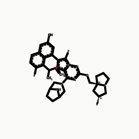 C=CC(C)c1c(F)ccc2cc(O)cc(-c3cc4c(N5CC6CCC(C5)N6)nc(OC[C@@]56CCCN5C[C@H](F)C6)nn4c3F)c12